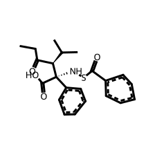 CCC(=O)[C@@H](C(C)C)[C@](NSC(=O)c1ccccc1)(C(=O)O)c1ccccc1